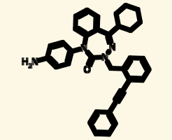 Nc1ccc(N2C(=O)N(Cc3ccccc3C#Cc3ccccc3)N=C(C3CCCCC3)c3ccccc32)cc1